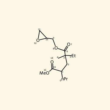 CCCC(CC(C)(CC)C(=O)OCC1CO1)C(=O)OC